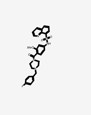 COc1cc(NS(=O)(=O)c2cccc3cccnc23)ccc1C(=O)N1CCN(Cc2ccc(F)cc2)CC1